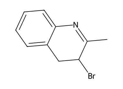 CC1=Nc2ccccc2CC1Br